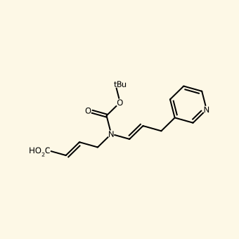 CC(C)(C)OC(=O)N(C=CCc1cccnc1)CC=CC(=O)O